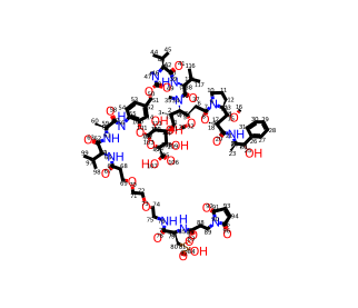 CC[C@H](C)[C@@H]([C@@H](CC(=O)N1CCC[C@H]1[C@H](OC)[C@@H](C)C(=O)N[C@H](C)[C@@H](O)c1ccccc1)OC)N(C)C(=O)[C@@H](NC(=O)[C@H](C(C)C)N(C)C(=O)OCc1ccc(NC(=O)[C@H](C)NC(=O)[C@@H](NC(=O)CCOCCOCCNC(=O)[C@H](CS(=O)(=O)O)NC(=O)CCN2C(=O)C=CC2=O)C(C)C)c(O[C@@H]2O[C@H](C(=O)O)[C@@H](O)[C@H](O)[C@H]2O)c1)C(C)C